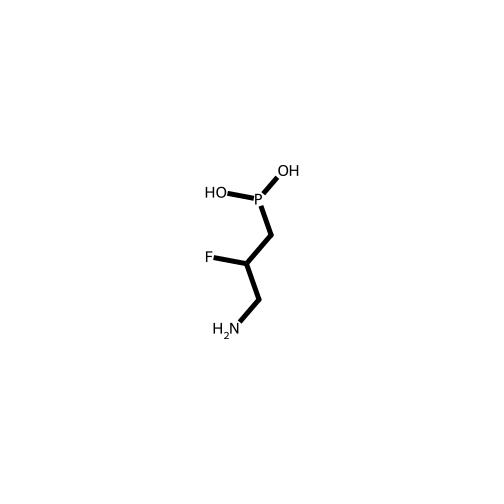 NCC(F)CP(O)O